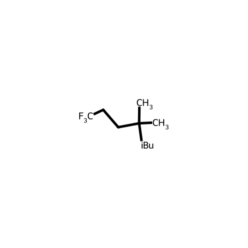 CCC(C)C(C)(C)CCC(F)(F)F